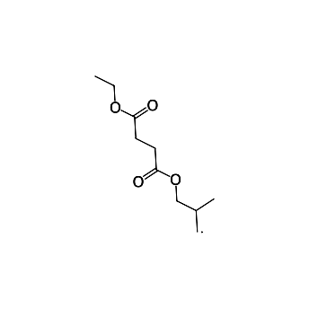 [CH2]C(C)COC(=O)CCC(=O)OCC